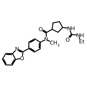 CCNC(=O)NC1CCC(C(=O)N(C)c2ccc(-c3nc4ccccc4o3)cc2)C1